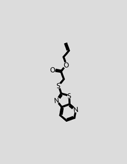 C=CCOC(=O)CSc1nc2cccnc2s1